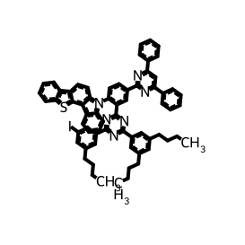 CCCCc1cc(I)cc(-c2nc(-c3cc(CCCC)cc(CCCC)c3)nc(-c3cc(-c4nc(-c5ccccc5)cc(-c5ccccc5)n4)ccc3-n3c4ccccc4c4c5sc6ccccc6c5ccc43)n2)c1